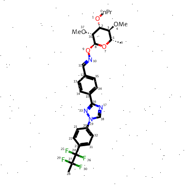 CCCO[C@@H]1[C@@H](OC)[C@H](C)O[C@@H](O/N=C/c2ccc(-c3ncn(-c4ccc(C(F)(F)C(C)(F)F)cc4)n3)cc2)[C@@H]1OC